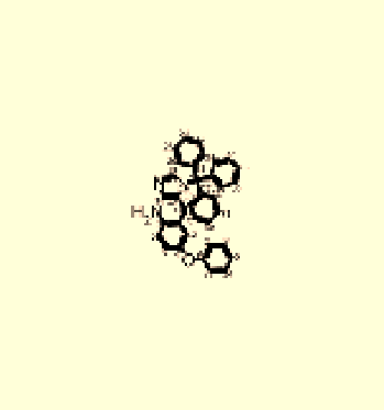 Nc1ccc(Oc2ccccc2)cc1Cc1cncn1C(c1ccccc1)(c1ccccc1)c1ccccc1